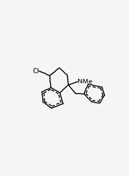 CNC1(Cc2ccccc2)CCC(Cl)c2ccccc21